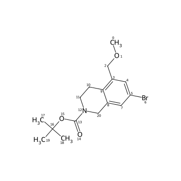 COCc1cc(Br)cc2c1CCN(C(=O)OC(C)(C)C)C2